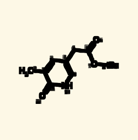 Cc1cc(CC(=O)OC(C)(C)C)c[nH]c1=O